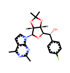 Cc1nc(C)c2ccn([C@@H]3O[C@H]([C@H](O)c4ccc(F)cc4)[C@H]4OC(C)(C)O[C@H]43)c2n1